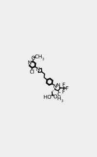 COc1cc(N2CC(CCc3ccc(N4N=C(C(F)(F)F)[C@@H](C)[C@@H]4CC(=O)O)cc3)C2)c(Cl)cn1